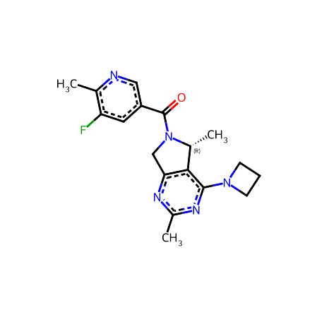 Cc1nc2c(c(N3CCC3)n1)[C@@H](C)N(C(=O)c1cnc(C)c(F)c1)C2